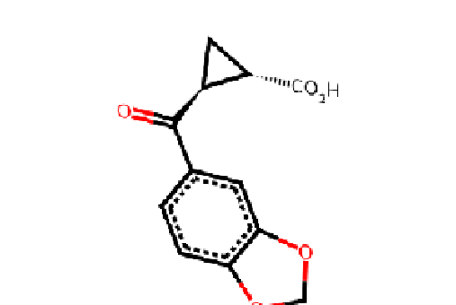 O=C(O)[C@H]1C[C@@H]1C(=O)c1ccc2c(c1)OCO2